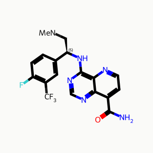 CNC[C@@H](Nc1ncnc2c(C(N)=O)ccnc12)c1ccc(F)c(C(F)(F)F)c1